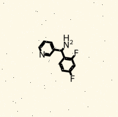 NC(c1cccnc1)c1ccc(F)cc1F